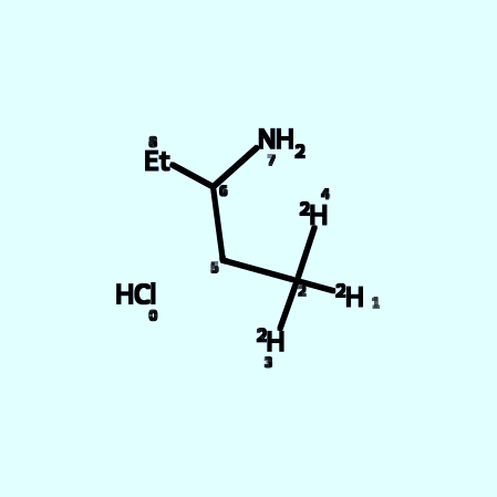 Cl.[2H]C([2H])([2H])CC(N)CC